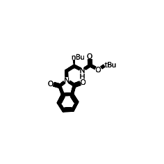 CCCC[C@H](CN1C(=O)c2ccccc2C1=O)NC(=O)OC(C)(C)C